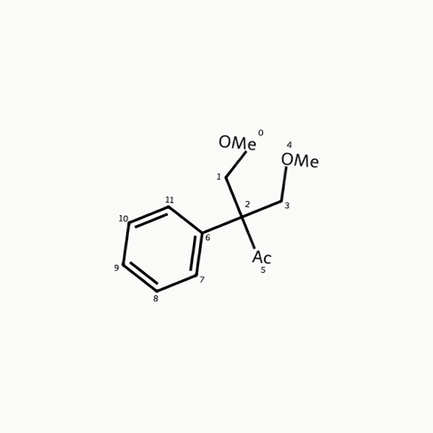 COCC(COC)(C(C)=O)c1ccccc1